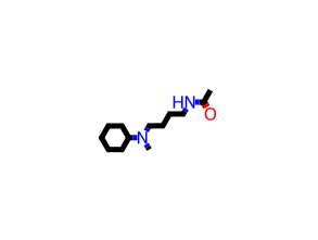 CC(=O)NCCCCN(C)C1CCCCC1